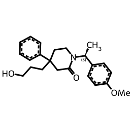 COc1ccc([C@H](C)N2CCC(CCCO)(c3ccccc3)CC2=O)cc1